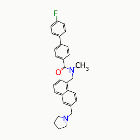 CN(Cc1cccc2cc(CN3CCCC3)ccc12)C(=O)c1ccc(-c2ccc(F)cc2)cc1